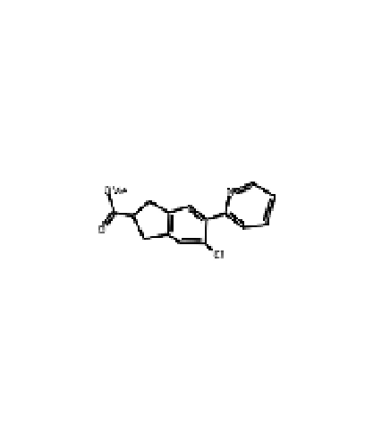 COC(=O)C1Cc2cc(Cl)c(-c3ccccn3)cc2C1